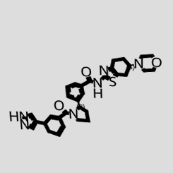 O=C(Nc1nc2c(s1)C[C@@H](N1CCOCC1)CC2)c1cccc([C@H]2CCCN2C(=O)C2=CC(c3cn[nH]c3)CC=C2)c1